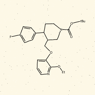 CCOc1ncccc1OCC1CN(C(=O)OC(C)(C)C)CCC1c1ccc(F)cc1